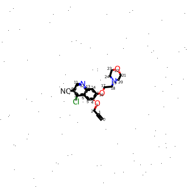 C#CCOc1cc2c(Cl)c(C#N)cnc2cc1OCCN1CCOCC1